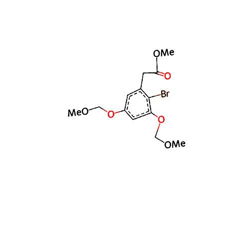 COCOc1cc(CC(=O)OC)c(Br)c(OCOC)c1